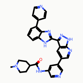 CN1CCC(C(=O)Nc2cncc(-c3cnc4[nH]nc(-c5nc6c(-c7ccncc7)cccc6[nH]5)c4c3)c2)CC1